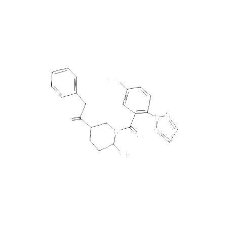 Cc1ccc(-n2nccn2)c(C(=O)N2CC(C(=O)Cc3ccccc3)CCC2C)c1